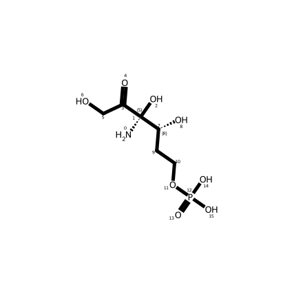 N[C@@](O)(C(=O)CO)[C@H](O)CCOP(=O)(O)O